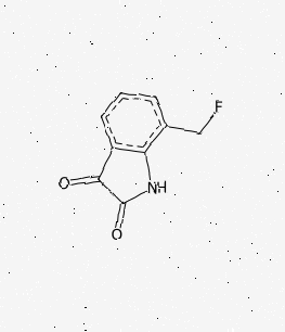 O=C1Nc2c(CF)cccc2C1=O